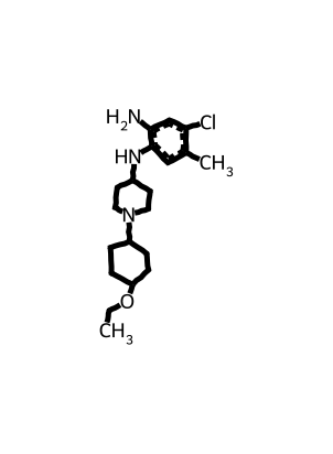 CCOC1CCC(N2CCC(Nc3cc(C)c(Cl)cc3N)CC2)CC1